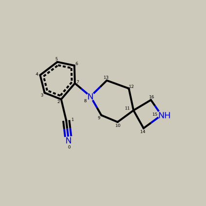 N#Cc1ccccc1N1CCC2(CC1)CNC2